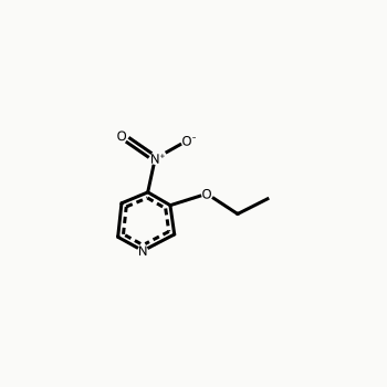 CCOc1cnccc1[N+](=O)[O-]